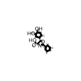 O=C(O)[C@H]1N=C(c2ccccc2)O[C@@H]1c1ccc(O)c(O)c1